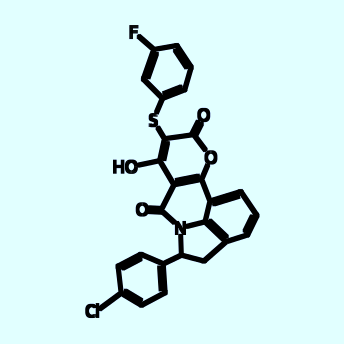 O=c1oc2c(c(O)c1Sc1cccc(F)c1)c(=O)n1c3c(cccc23)CC1c1ccc(Cl)cc1